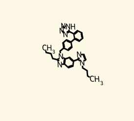 CCCCc1nc2ccc(-c3nccn3CCCC)cc2n1Cc1ccc(-c2ccccc2-c2nnn[nH]2)cc1